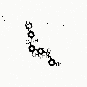 Cc1ccc(C(=O)Nc2ccc(N3CCOCC3)cc2)cc1-c1ccc(C(=O)NCc2cccc(Br)c2)cc1